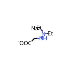 CCN(CC)NCC(=O)[O-].[Na+]